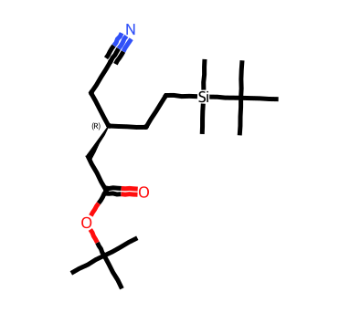 CC(C)(C)OC(=O)C[C@@H](CC#N)CC[Si](C)(C)C(C)(C)C